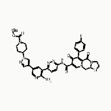 CC(C)(C)OC(=O)N1CCC(n2cc(-c3cnc(N)c(-c4ccc(NC(=O)c5cn6c(c(-c7ccc(F)cc7)c5=O)C(=O)N5CCOC5C6)nn4)c3)cn2)CC1